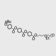 CCCCOc1ccc(C(=O)Oc2ccc(C(=O)Oc3ccc(C(=O)OCCCCOCC4(CC)COC4)cc3)cc2)cc1